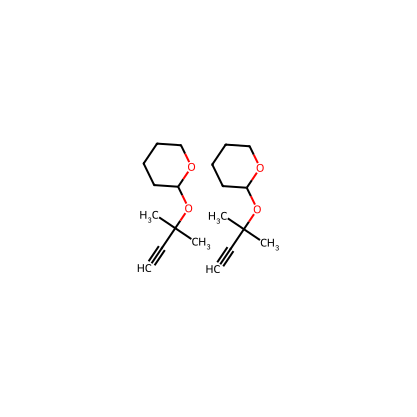 C#CC(C)(C)OC1CCCCO1.C#CC(C)(C)OC1CCCCO1